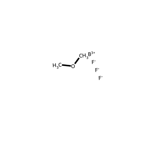 COC.[B+3].[F-].[F-].[F-]